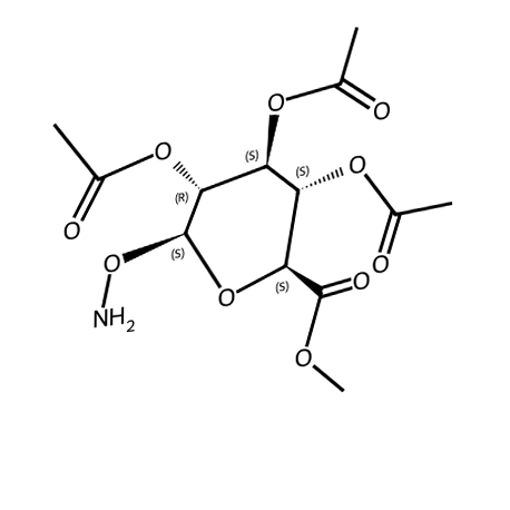 COC(=O)[C@H]1O[C@@H](ON)[C@H](OC(C)=O)[C@@H](OC(C)=O)[C@@H]1OC(C)=O